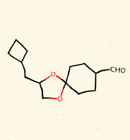 O=CC1CCC2(CC1)OCC(CC1CCC1)O2